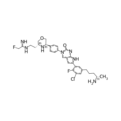 C[C@H](N)CCCc1cc(Cl)c(F)c(-c2cc3cn(-c4ccc([C@@H]5COC[C@@H](CCNC(=N)CF)N5)cc4)c(=O)nc3[nH]2)c1